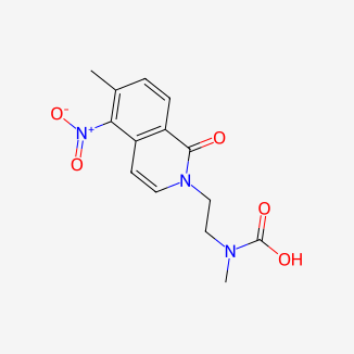 Cc1ccc2c(=O)n(CCN(C)C(=O)O)ccc2c1[N+](=O)[O-]